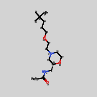 CCCC(C)C(=O)NC[C@@H]1CN(CCOCCCC(C)(C)CCC)CCO1